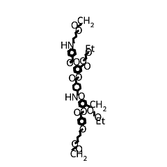 C=CC(=O)OCCCCNc1ccc(C(=O)Oc2ccc(OC(=O)C3CCC(C(=N)Oc4ccc(OC(=O)c5ccc(OCCCCOC(=O)C=C)cc5)c(C(=C)OCCOCC)c4)CC3)cc2C(=O)OCCOCC)cc1